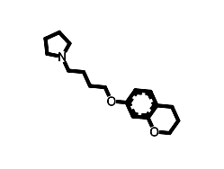 c1cc2c(cc1OCCCCN1CCCC1)OCCC2